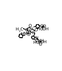 C=CCN1CC(=O)N2[C@H](Cc3ccc(OP(=O)(O)O)cc3)C(=O)N(Cc3cccc4sc(NP(=O)(O)O)nc34)C[C@@H]2N1C(=O)NCc1ccccc1